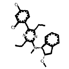 CCc1nc(N(C)[C@H]2c3ccccc3C[C@@H]2OC)c(CC)nc1-c1ccc(Cl)cc1Cl